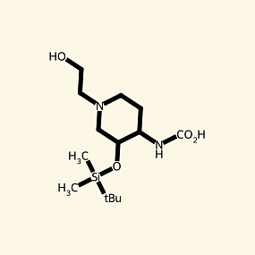 CC(C)(C)[Si](C)(C)OC1CN(CCO)CCC1NC(=O)O